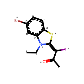 CCN1C(=C(I)C(C)=O)Sc2ccc(Br)cc21